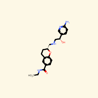 Nc1ccc([C@H](O)CNC[C@H]2CCc3cc(C(=O)NCC(=O)O)ccc3O2)cn1